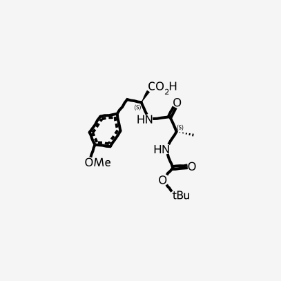 COc1ccc(C[C@H](NC(=O)[C@H](C)NC(=O)OC(C)(C)C)C(=O)O)cc1